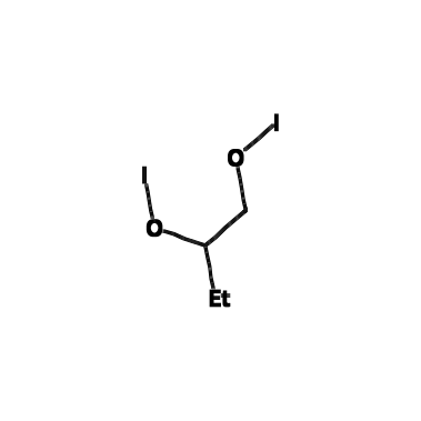 CCC(COI)OI